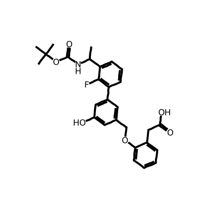 CC(NC(=O)OC(C)(C)C)c1cccc(-c2cc(O)cc(COc3ccccc3CC(=O)O)c2)c1F